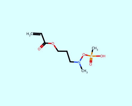 C=CC(=O)OCCCN(C)OP(C)(=O)O